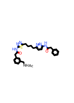 CC(=O)NCc1cccc(CC(=O)Nc2nnc(CCCCc3ccc(NC(=O)Cc4ccccc4)nn3)s2)c1